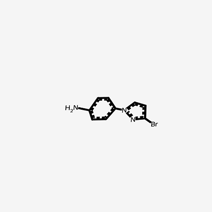 Nc1ccc(-n2ccc(Br)n2)cc1